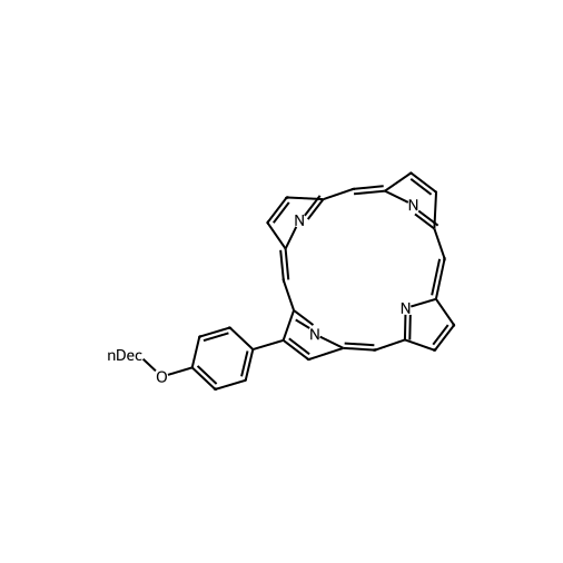 CCCCCCCCCCOc1ccc(C2=CC3=CC4=NC(=CC5=NC(=CC6=NC(=CC2=N3)C=C6)C=C5)C=C4)cc1